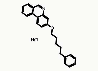 Cl.c1ccc(CCCCCOc2ccc3c(c2)ncc2ccccc23)cc1